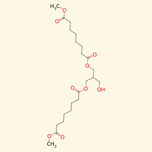 COC(=O)CCCCCCC(=O)OCC(CO)COC(=O)CCCCCCC(=O)OC